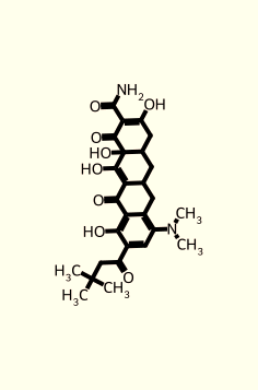 CN(C)c1cc(C(=O)CC(C)(C)C)c(O)c2c1CC1CC3CC(O)=C(C(N)=O)C(=O)C3(O)C(O)=C1C2=O